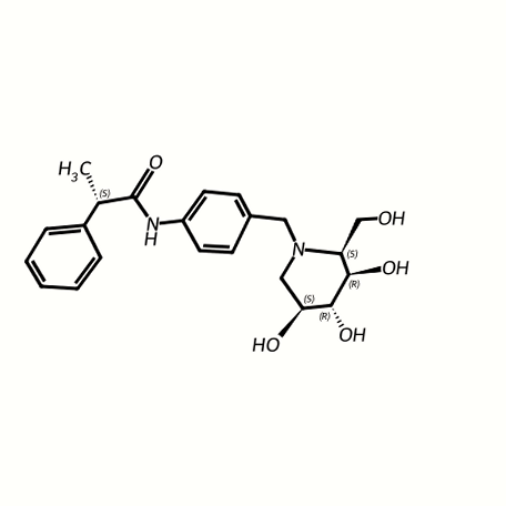 C[C@H](C(=O)Nc1ccc(CN2C[C@H](O)[C@@H](O)[C@H](O)[C@@H]2CO)cc1)c1ccccc1